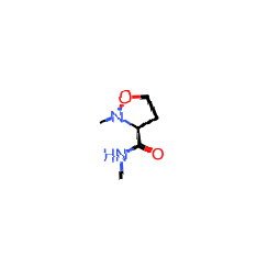 CNC(=O)[C@@H]1CCON1C